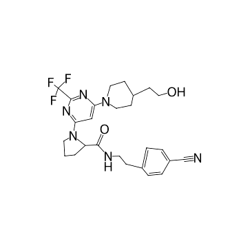 N#Cc1ccc(CCNC(=O)C2CCCN2c2cc(N3CCC(CCO)CC3)nc(C(F)(F)F)n2)cc1